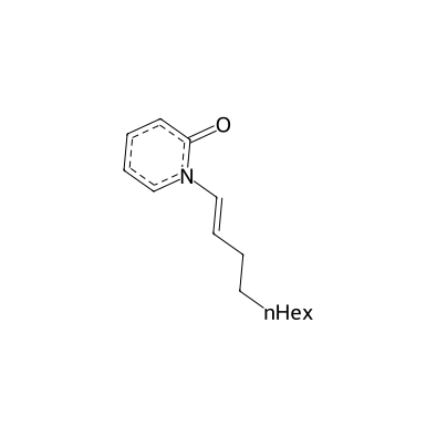 CCCCCCCC/C=C/n1ccccc1=O